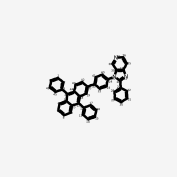 c1ccc(-c2c3ccccc3c(-c3ccccc3)c3cc(-c4ccc(-n5c(-c6ccccc6)nc6ccncc65)cc4)ccc23)cc1